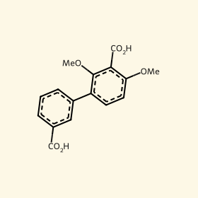 COc1ccc(-c2cccc(C(=O)O)c2)c(OC)c1C(=O)O